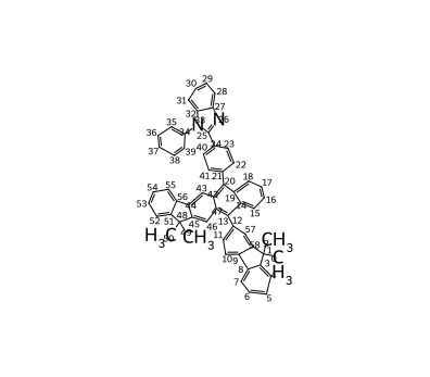 CC1(C)c2ccccc2-c2ccc(-c3c4ccccc4c(-c4ccc(-c5nc6ccccc6n5-c5ccccc5)cc4)c4cc5c(cc34)C(C)(C)c3ccccc3-5)cc21